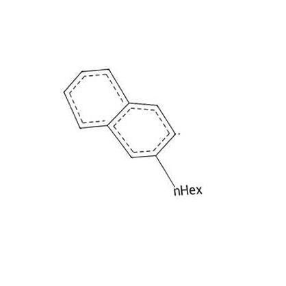 CCCCCCc1[c]cc2ccccc2c1